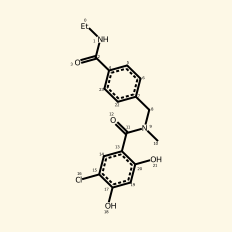 CCNC(=O)c1ccc(CN(C)C(=O)c2cc(Cl)c(O)cc2O)cc1